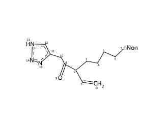 C=CC(CCCCCCCCCCCCC)C(=O)Cc1c[nH]nn1